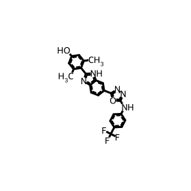 Cc1cc(O)cc(C)c1-c1nc2ccc(-c3nnc(Nc4ccc(C(F)(F)F)cc4)o3)cc2[nH]1